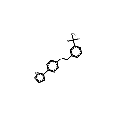 O=C(O)C(F)(F)c1cccc(COc2ccc(-c3ccn[nH]3)nc2)c1